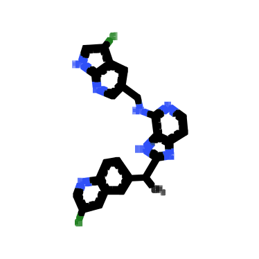 CC(c1ccc2ncc(Cl)cc2c1)c1nc2ccnc(NCc3cnc4[nH]cc(Cl)c4c3)c2[nH]1